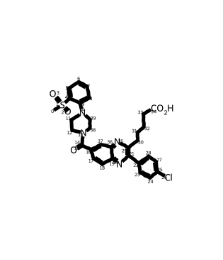 CS(=O)(=O)c1ccccc1N1CCN(C(=O)c2ccc3nc(-c4ccc(Cl)cc4)c(CCCCC(=O)O)nc3c2)CC1